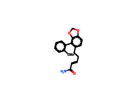 COc1ccccc1-c1c(CC/C=C/C(N)=O)ccc2c1OCO2